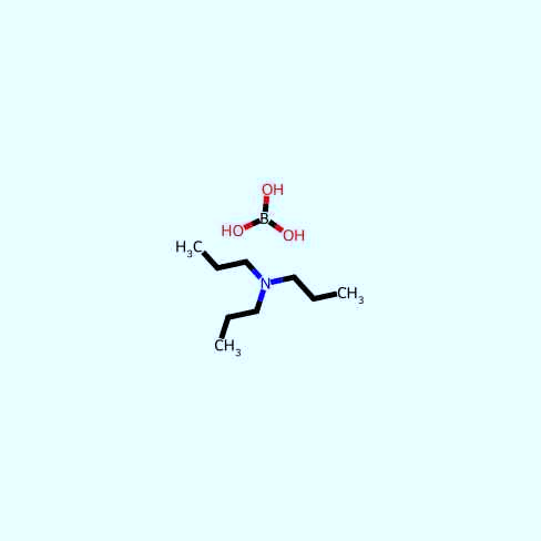 CCCN(CCC)CCC.OB(O)O